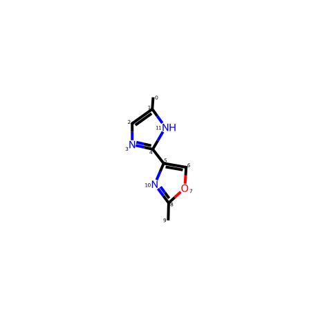 Cc1cnc(-c2coc(C)n2)[nH]1